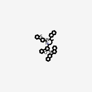 CC1CC/C(c2cc(-n3c4cc5ccccc5cc4c4ccc5ccccc5c43)c3oc4ccccc4c3c2)=N\C(c2ccc3c(c2)sc2ccccc23)NC1c1ccc2ccccc2c1